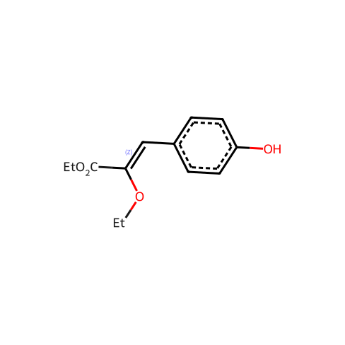 CCOC(=O)/C(=C/c1ccc(O)cc1)OCC